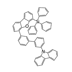 c1ccc([Si](c2ccccc2)(c2ccccc2)c2cccc3c2oc2c(-c4cccc(-c5cccc(-n6c7ccccc7c7ccccc76)c5)c4)cccc23)cc1